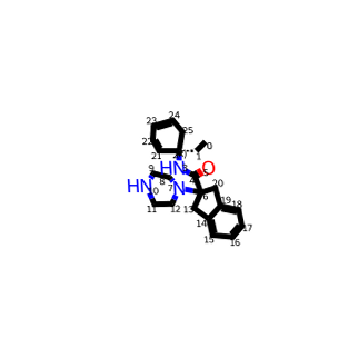 CC[C@]1(NC(=O)C2(N3CCNCC3)Cc3ccccc3C2)C=CC=CC1